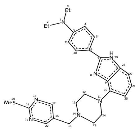 CCN(CC)c1ccc(-c2nc3c(N4CCN(Cc5cnc(SC)nc5)CC4)cccc3[nH]2)cc1